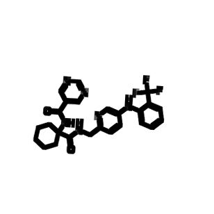 O=C(NC1(C(=O)NCc2ccc(Nc3ccccc3C(F)(F)F)cn2)CCCCC1)c1cncnc1